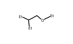 [CH2]COCC(CC)CC